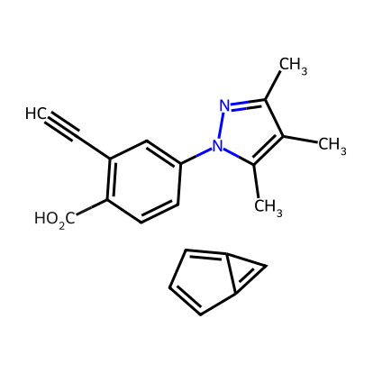 C#Cc1cc(-n2nc(C)c(C)c2C)ccc1C(=O)O.c1cc2cc-2c1